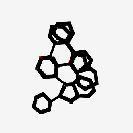 c1ccc(-c2nc3ccccc3n2-c2ccccc2-c2ccccc2-c2ccccc2-c2ccccc2-n2c(-c3ccccc3)nc3ccccc32)cc1